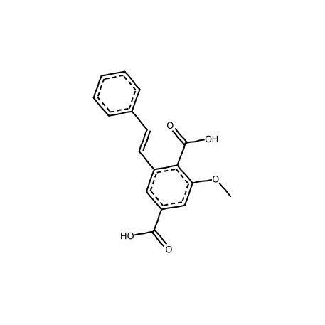 COc1cc(C(=O)O)cc(/C=C/c2ccccc2)c1C(=O)O